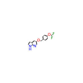 FC(F)Oc1ccc(COc2cnc3[nH]ccc3c2)cc1